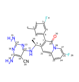 Cc1cc(F)cc(-c2c([C@H](C)Nc3nc(N)nc(N)c3C#N)cc3ccc(F)cn3c2=O)c1